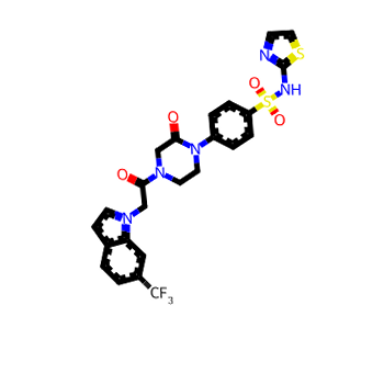 O=C(Cn1ccc2ccc(C(F)(F)F)cc21)N1CCN(c2ccc(S(=O)(=O)Nc3nccs3)cc2)C(=O)C1